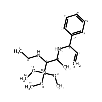 C=CC(NC(C)C(NCC)[Si](OC)(OC)OC)c1ccccc1